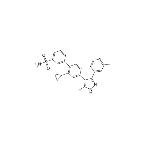 Cc1cc(-c2n[nH]c(C)c2-c2ccc(-c3cccc(S(N)(=O)=O)c3)c(C3CC3)c2)ccn1